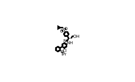 CC(C)Oc1ccccc1-c1cc2nc([C@@H](CCO)c3ccc(S(=O)(=O)CC4CC4)cc3)[nH]c2cc1Cl